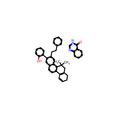 CC1(C)CC2=C(C=CCC2)c2ccc3cc(-c4ccccc4O)c(CCc4ccccc4)cc3c21.O=c1[nH]cnc2ccccc12